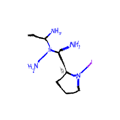 CC(N)N(N)C(N)[C@@H]1CCCN1I